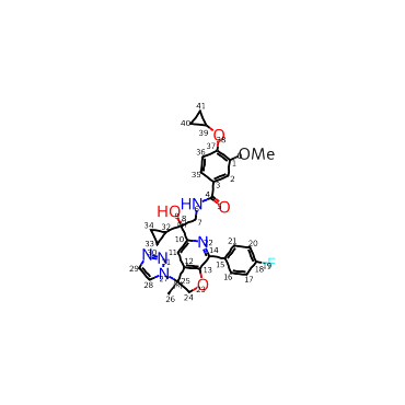 COc1cc(C(=O)NC[C@](O)(c2cc3c(c(-c4ccc(F)cc4)n2)OC[C@]3(C)n2ccnn2)C2CC2)ccc1OC1CC1